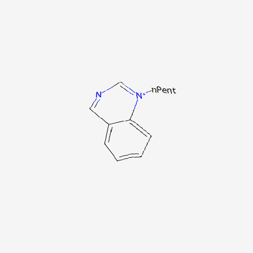 CCCCC[n+]1cncc2ccccc21